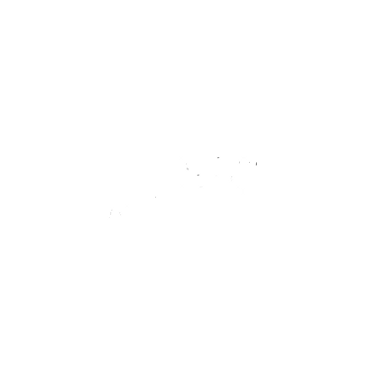 CCOCOC(=O)C(F)(F)C(F)(F)C(C)=O